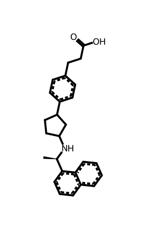 C[C@@H](NC1CCC(c2ccc(CCC(=O)O)cc2)C1)c1cccc2ccccc12